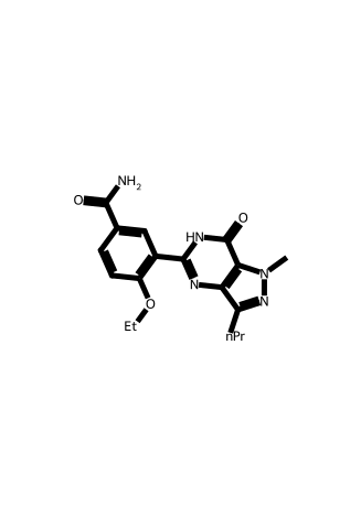 CCCc1nn(C)c2c(=O)[nH]c(-c3cc(C(N)=O)ccc3OCC)nc12